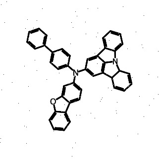 C1=CC2c3cc(N(c4ccc(-c5ccccc5)cc4)c4ccc5c(c4)oc4ccccc45)cc4c5ccccc5n(c34)C2C=C1